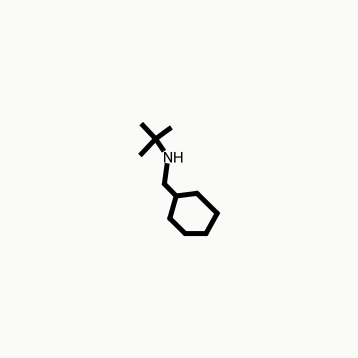 CC(C)(C)NCC1CCCCC1